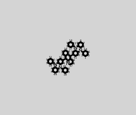 c1ccc(N2c3ccccc3N(c3ccccc3)c3cc(-c4c5ccccc5c(-c5ccc6c(c5)N(c5ccccc5)c5ccccc5N6c5ccccc5)c5ncccc45)ccc32)cc1